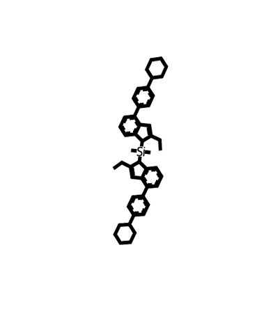 CCC1=Cc2c(-c3ccc(C4CCCCC4)cc3)cccc2C1[Si](C)(C)C1C(CC)=Cc2c(-c3ccc(C4CCCCC4)cc3)cccc21